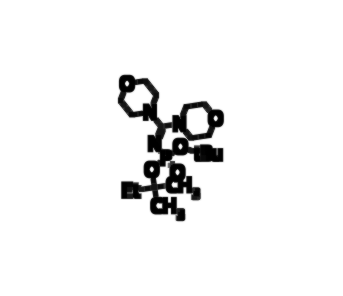 CCC(C)(C)OP(=O)(N=C(N1CCOCC1)N1CCOCC1)OC(C)(C)C